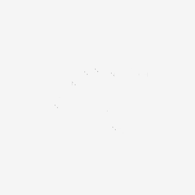 Cc1c(C(N)=O)cccc1-c1cc(Nc2ccc(N3CCC(C)(O)CC3)nn2)c(=O)n(C)c1